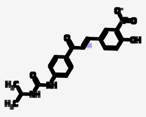 CC(C)NC(=O)Nc1ccc(C(=O)/C=C/c2ccc(O)c([N+](=O)[O-])c2)cc1